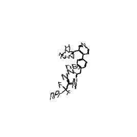 CCCCn1nc(C(F)(F)CCC)nc1Cc1ccc(-c2ccncc2-c2nnn[nH]2)cc1